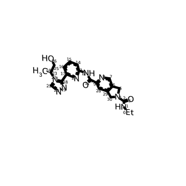 CCNC(=O)N1Cc2cnc(C(=O)Nc3cccc(-c4nncn4[C@H](C)CO)n3)cc2C1